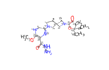 COc1ncc(N2CCC3(CN(C(=O)OC(C)(C)C)C3)C2)nc1C(=O)NN